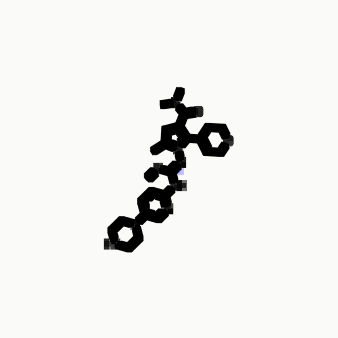 C=N/C(=N\n1c(C)cc(C(=O)N(C)C)c1C1=CCOCC1)Nc1ccc(N2CCNCC2)cn1